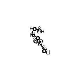 Cc1c(Cl)cccc1OCCOC(=O)N1CCCOc2c(-c3cnn(Cc4cc(C(=O)O)ccc4F)c3)cccc21